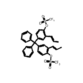 CC=Cc1cc(C(c2ccccc2)(c2ccccc2)c2ccc(OS(=O)(=O)C(F)(F)F)c(C=CC)c2)ccc1OS(=O)(=O)C(F)(F)F